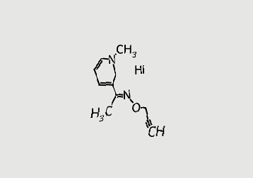 C#CCON=C(C)C1=CC=CN(C)C1.I